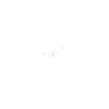 Cl.Cl.[CaH2].[Fe]